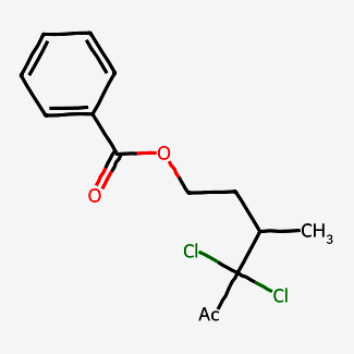 CC(=O)C(Cl)(Cl)C(C)CCOC(=O)c1ccccc1